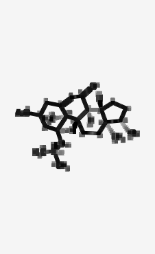 CC(=O)OC1CC2=CC(=O)[C@H]3[C@@H]4CC[C@H](C(C)(C)C)[C@@]4(C)CC[C@@H]3[C@@]2(C)C(O[SiH](C)C)C1